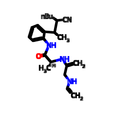 C=CNCC(=C)N[C@H](C)C(=O)Nc1ccccc1C(C)C(C#N)CCCC